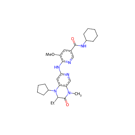 CCC1C(=O)N(C)c2cnc(Nc3ncc(C(=O)NC4CCCCC4)cc3OC)cc2N1C1CCCC1